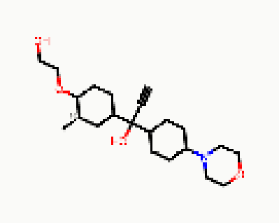 C#CC(O)(C1CCC(N2CCOCC2)CC1)C1CCC(OCCO)[C@H](C)C1